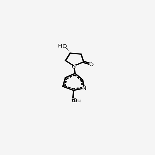 CC(C)(C)c1ccc(N2C[C@H](O)CC2=O)cn1